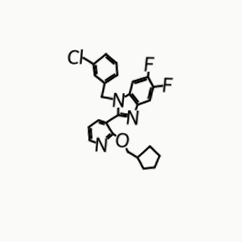 Fc1cc2nc(-c3cccnc3OCC3CCCC3)n(Cc3cccc(Cl)c3)c2cc1F